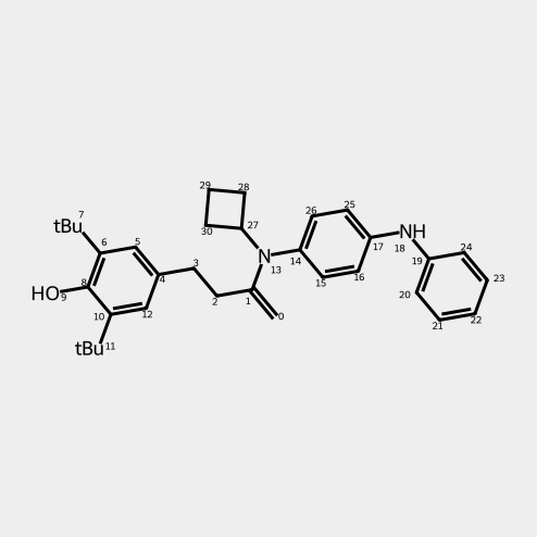 C=C(CCc1cc(C(C)(C)C)c(O)c(C(C)(C)C)c1)N(c1ccc(Nc2ccccc2)cc1)C1CCC1